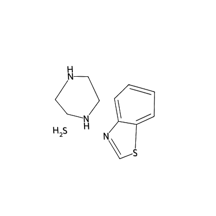 C1CNCCN1.S.c1ccc2scnc2c1